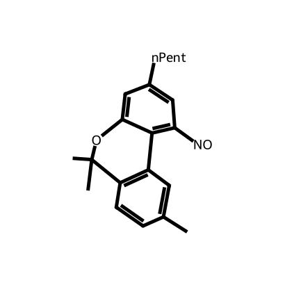 CCCCCc1cc(N=O)c2c(c1)OC(C)(C)c1ccc(C)cc1-2